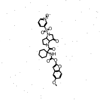 COc1ccc2oc(OC(=O)NC3(C(=O)N4CCC5C4C(=O)CN5S(=O)(=O)c4ccc[n+]([O-])c4)CCCCC3)cc2c1